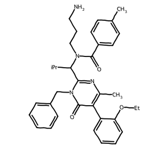 CCOc1ccccc1-c1c(C)nc(C(C(C)C)N(CCCN)C(=O)c2ccc(C)cc2)n(Cc2ccccc2)c1=O